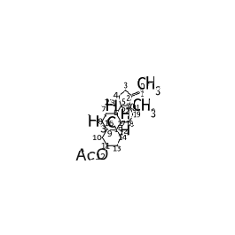 CC=C1CC[C@H]2[C@@H]3CCC4C[C@H](OC(C)=O)CC[C@]4(C)[C@H]3CC[C@]12C